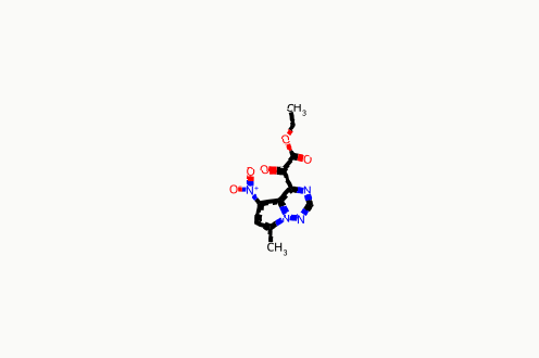 CCOC(=O)C(=O)c1ncnn2c(C)cc([N+](=O)[O-])c12